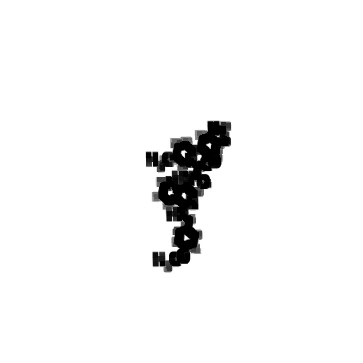 COc1ccc(CNc2ncc(NC(=O)C(=C=O)N3C[C@@H](C)CC[C@@H]3c3ccc4scnc4c3)c3ncccc23)cc1